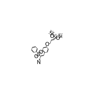 C[Si](C)(C)O[Si](C)(C=CCOc1ccc(C=C(C#N)S(=O)(=O)c2ccccc2)cc1)O[Si](C)(C)C